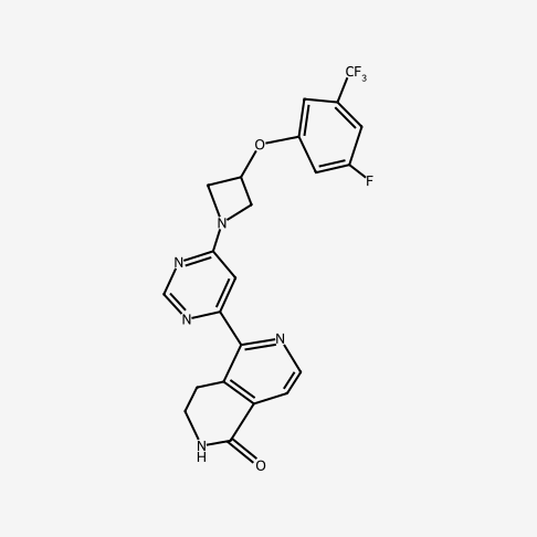 O=C1NCCc2c1ccnc2-c1cc(N2CC(Oc3cc(F)cc(C(F)(F)F)c3)C2)ncn1